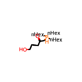 CCCCCC[PH](CCCCCC)(CCCCCC)CC(=O)CCCO